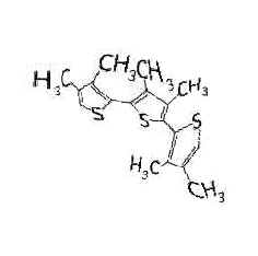 Cc1csc(-c2sc(-c3scc(C)c3C)c(C)c2C)c1C